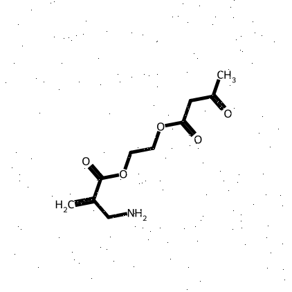 C=C(CN)C(=O)OCCOC(=O)CC(C)=O